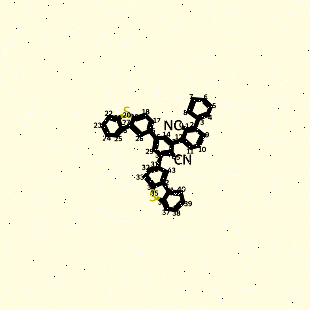 N#Cc1c(-c2ccccc2)cccc1-c1cc(-c2ccc3sc4ccccc4c3c2)cc(-c2ccc3sc4ccccc4c3c2)c1C#N